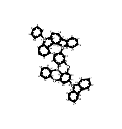 c1ccc(-n2c3ccccc3c3c2ccc2c4ccccc4n(-c4ccc5c(c4)Oc4cc(-n6c7ccccc7c7ccccc76)cc6c4B5c4ccccc4O6)c23)cc1